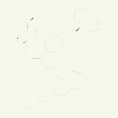 CCc1cccc2cc(OCOC)cc(-c3cc4nc(OC[C@@]56CCCN5C[C@H](F)C6)nc5c4c(n3)OC[C@@H]3[C@@H]4CC[C@H](CN53)N4)c12